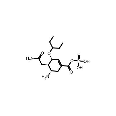 CCC(CC)O[C@@H]1C=C(C(=O)OP(=O)(O)O)C[C@H](N)[C@H]1CC(N)=O